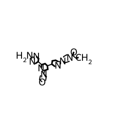 C=CC(=O)N1CCN(c2ccc(-c3cc(-c4cnc(N)nc4)nc(N4CCOCC4)c3)cn2)CC1